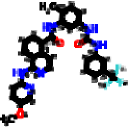 COc1ccc(Nc2nccc3c(C(=O)Nc4cc(NC(=O)Nc5cccc(C(F)(F)F)c5)ccc4C)cccc23)nc1